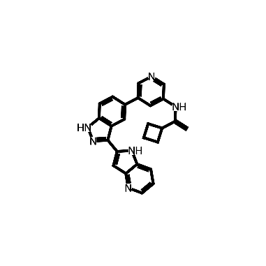 C=C(Nc1cncc(-c2ccc3[nH]nc(-c4cc5ncccc5[nH]4)c3c2)c1)C1CCC1